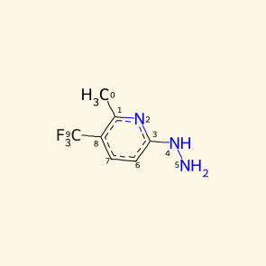 Cc1nc(NN)ccc1C(F)(F)F